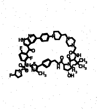 Cc1ncsc1-c1ccc(CNC(=O)[C@@H]2C[C@@H](O)CN2C(=O)C(NC(=O)CN2CCN(CC3CCN(c4ccc(-c5cnc6[nH]cc(C(=O)c7c(F)ccc(NS(=O)(=O)N8CCC(F)C8)c7F)c6c5)cc4)CC3)CC2)C(C)(C)C)cc1